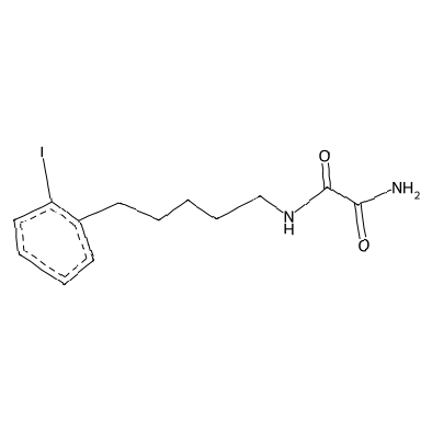 NC(=O)C(=O)NCCCCCc1ccccc1I